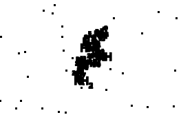 Cc1cn(-c2ccnc3[nH]c(-c4n[nH]c5ncc(-c6cncc(N7CC(N)C7)n6)cc45)nc23)cn1